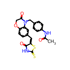 CC(=O)Nc1ccc(CN2C(=O)COc3ccc(C=C4SC(=S)NC4=O)cc32)cc1